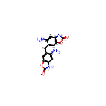 Nc1cc2[nH]c(=O)oc2cc1Cc1cc2oc(=O)[nH]c2cc1N